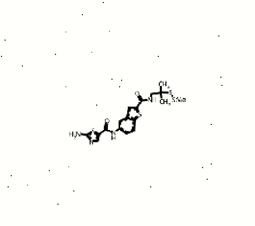 CSSC(C)(C)CNC(=O)c1cc2cc(NC(=O)c3cnc(N)s3)ccc2s1